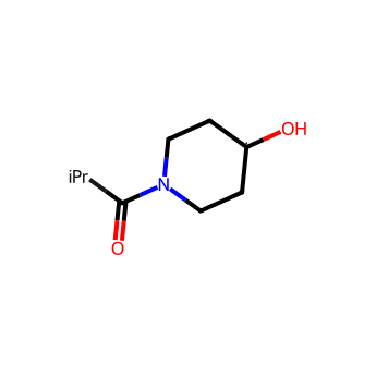 CC(C)C(=O)N1CC[C](O)CC1